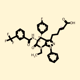 CCN1C(=O)[C@H](NC(=O)c2cccc(C(F)(F)F)c2)[C@H](c2ccc(F)cc2)c2c(CC/C=C/C(=O)O)nn(-c3ccccc3)c21